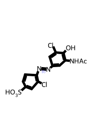 CC(=O)Nc1cc(/N=N/c2ccc(S(=O)(=O)O)cc2Cl)cc(Cl)c1O